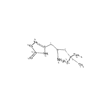 CC(C)(C)CC(N)Cc1noc(=O)[nH]1